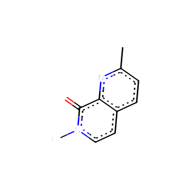 Cc1ccc2ccn(C(C)C)c(=O)c2n1